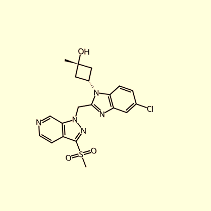 CS(=O)(=O)c1nn(Cc2nc3cc(Cl)ccc3n2[C@H]2C[C@@](C)(O)C2)c2cnccc12